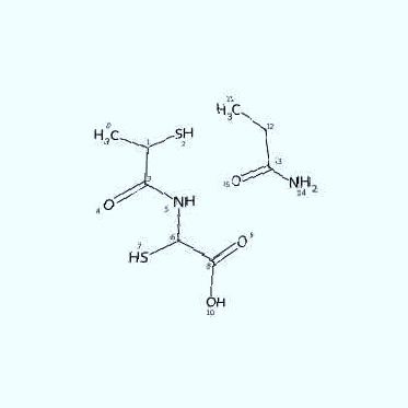 CC(S)C(=O)NC(S)C(=O)O.CCC(N)=O